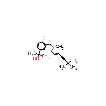 CN(C/C=C/C#CC(C)(C)C)Cc1cc(C(C)(C)O)ccc1F